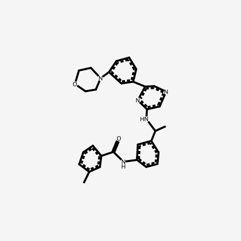 Cc1cccc(C(=O)Nc2cccc(C(C)Nc3cncc(-c4cccc(N5CCOCC5)c4)n3)c2)c1